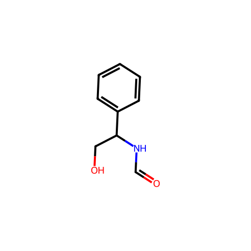 O=CNC(CO)c1ccccc1